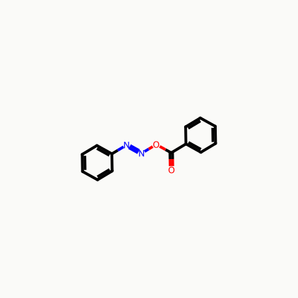 O=C(ON=Nc1ccccc1)c1ccccc1